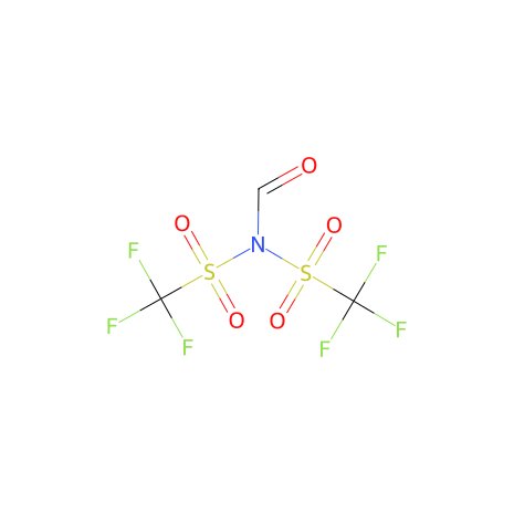 O=CN(S(=O)(=O)C(F)(F)F)S(=O)(=O)C(F)(F)F